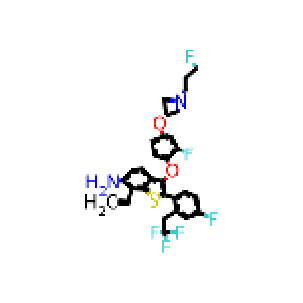 C=Cc1c(N)ccc2c(Oc3ccc(OC4CN(CCCF)C4)cc3F)c(-c3ccc(F)cc3CC(F)(F)F)sc12